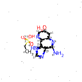 CCS(=O)(=O)O.Nc1nc2cccnc2c2[nH]cnc12.O